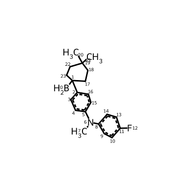 BC1(c2ccc(N(C)c3ccc(F)cc3)cc2)CCC(C)(C)CC1